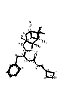 CC1(C)[C@H]2C[C@@H]1[C@@H]1OB([C@H](Cc3ccccc3)NC(=O)OCC3CNC3)O[C@]1(C)C2